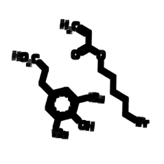 C=CC(=O)OCCCCCC(C)C.CC(C)(C)c1cc(CCC(=O)O)cc(C(C)(C)C)c1O